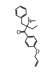 C=CCOc1ccc(C(=O)C(CC)(Cc2ccccc2)N(C)C)cc1